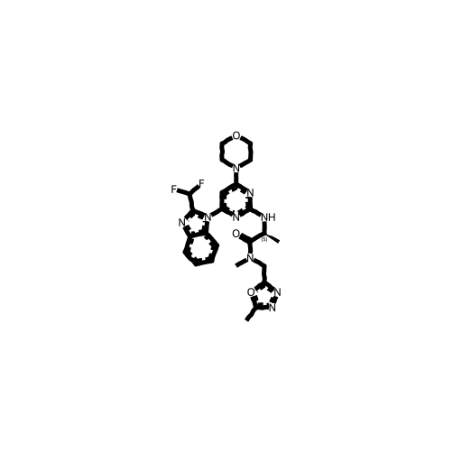 Cc1nnc(CN(C)C(=O)[C@H](C)Nc2nc(N3CCOCC3)cc(-n3c(C(F)F)nc4ccccc43)n2)o1